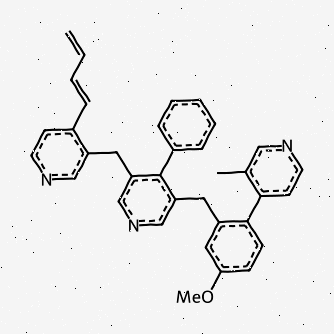 C=C/C=C/c1ccncc1Cc1cncc(Cc2cc(OC)ccc2-c2ccncc2C)c1-c1ccccc1